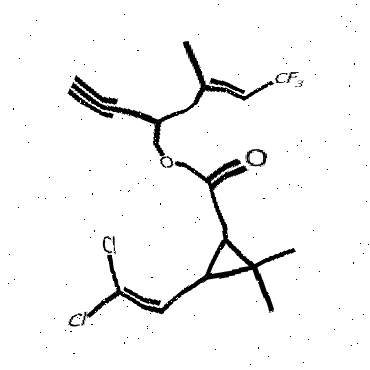 C#CC(OC(=O)C1C(C=C(Cl)Cl)C1(C)C)C(C)=CC(F)(F)F